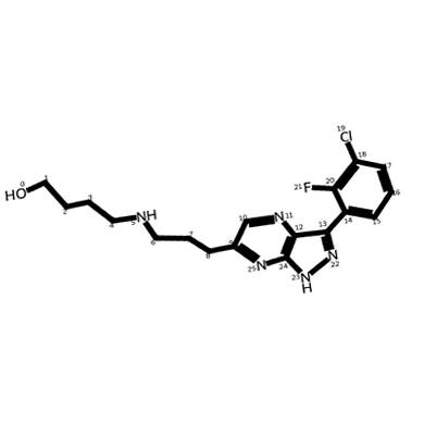 OCCCCNCCCc1cnc2c(-c3cccc(Cl)c3F)n[nH]c2n1